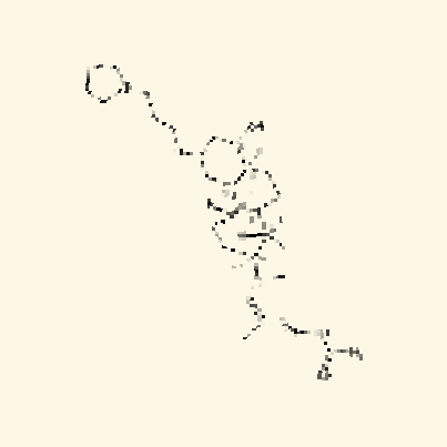 CC(C=NNC(=N)N)=C[C@H]1CC[C@H]2[C@@H]3CC[C@@H]4[C@@H](O)CC(OCCCN5CCCC5)C[C@]4(C)[C@H]3CC[C@]12C